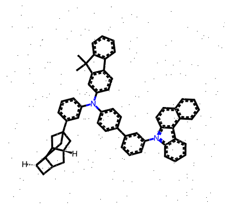 CC1(C)c2ccccc2-c2ccc(N(c3ccc(-c4cccc(-n5c6ccccc6c6c7ccccc7ccc65)c4)cc3)c3cccc(C45CC6C7C(C[C@H]6C4)C[C@H]7C5)c3)cc21